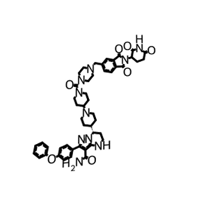 NC(=O)c1c(-c2ccc(Oc3ccccc3)cc2)nn2c1NCC[C@H]2C1CCN(C2CCN(C(=O)N3CCN(Cc4ccc5c(c4)C(=O)N(C4CCC(=O)NC4=O)C5=O)CC3)CC2)CC1